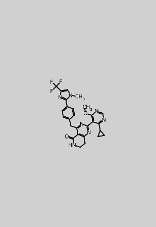 COc1ncnc(C2CC2)c1-c1nc2c(c(Cc3ccc(-c4nc(C(F)(F)F)cn4C)cc3)n1)C(=O)NCC2